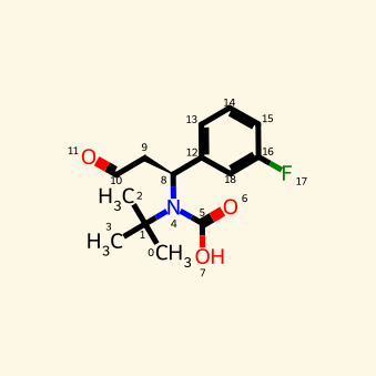 CC(C)(C)N(C(=O)O)[C@@H](CC=O)c1cccc(F)c1